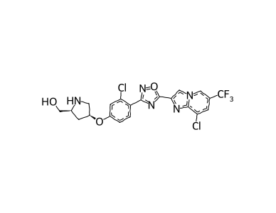 OC[C@@H]1C[C@H](Oc2ccc(-c3noc(-c4cn5cc(C(F)(F)F)cc(Cl)c5n4)n3)c(Cl)c2)CN1